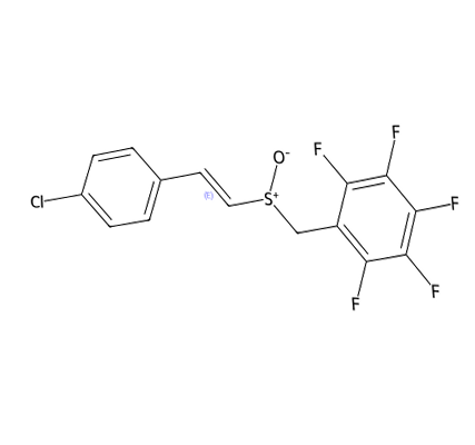 [O-][S+](/C=C/c1ccc(Cl)cc1)Cc1c(F)c(F)c(F)c(F)c1F